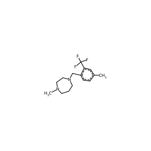 Cc1ccc(CN2CCCN(C)CC2)c(C(F)(F)F)c1